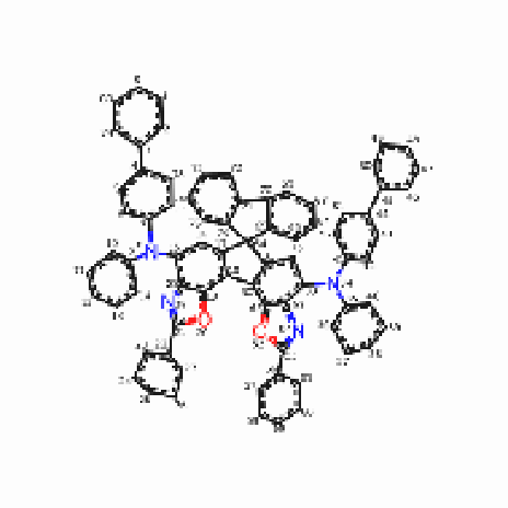 c1ccc(-c2ccc(N(c3ccccc3)c3cc4c(c5oc(-c6ccccc6)nc35)-c3c(cc(N(c5ccccc5)c5ccc(-c6ccccc6)cc5)c5nc(-c6ccccc6)oc35)C43c4ccccc4-c4ccccc43)cc2)cc1